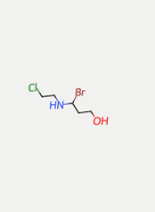 OCCC(Br)NCCCl